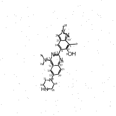 Cc1c(O)c(-c2nc(N(C)C)c3cc(N4CCNCC4)ccc3n2)cc2cn(C)nc12